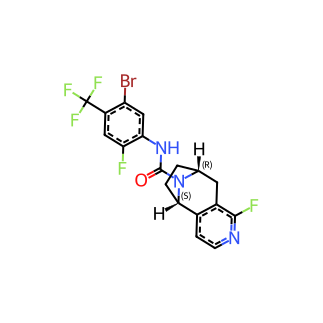 O=C(Nc1cc(Br)c(C(F)(F)F)cc1F)N1[C@@H]2CC[C@H]1c1ccnc(F)c1C2